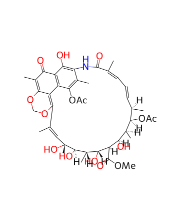 COC(=O)[C@@H]1[C@H](O)[C@H](C)[C@H](OC(C)=O)[C@H](C)/C=C/C=C(/C)C(=O)Nc2c(C)c(OC(C)=O)c3c(c2O)C(=O)C(C)=C2OCOC(=C23)/C(C)=C\[C@@](C)(O)[C@H](O)[C@@H](C)[C@H]1O